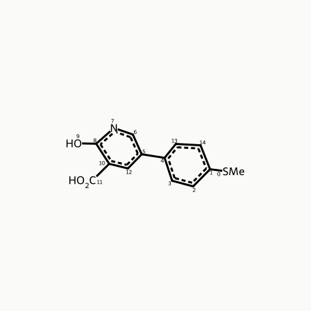 CSc1ccc(-c2cnc(O)c(C(=O)O)c2)cc1